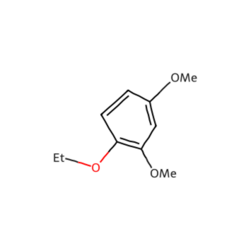 CCOc1ccc(OC)cc1OC